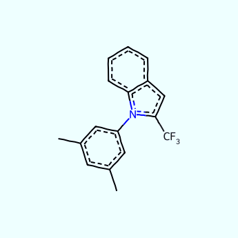 Cc1cc(C)cc(-n2c(C(F)(F)F)cc3ccccc32)c1